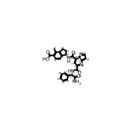 Cc1c(C(=O)O)ccc2c1CC[C@@H]2NC(=O)c1cc(C(=O)N[C@H](C(N)=O)c2ccccc2)nc2ccnn12